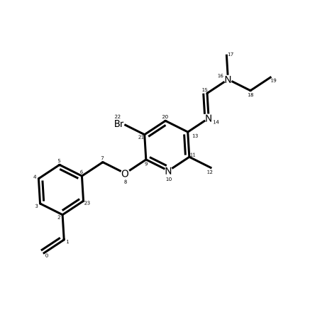 C=Cc1cccc(COc2nc(C)c(/N=C/N(C)CC)cc2Br)c1